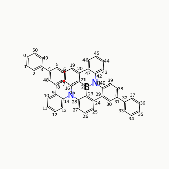 c1ccc(-c2cccc(-c3ccccc3N3c4cccc5c4B4c6c(cccc63)-c3cc(-c6ccccc6)ccc3N4c3ccccc3-5)c2)cc1